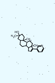 C[C@@]1(O)CC[C@@]2(C)C(CCC3C2CC[C@]2(C)C(c4cccnc4)=CCC32)C1